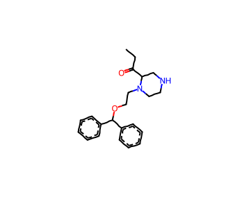 CCC(=O)C1CNCCN1CCOC(c1ccccc1)c1ccccc1